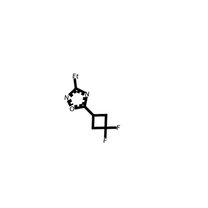 CCc1noc(C2CC(F)(F)C2)n1